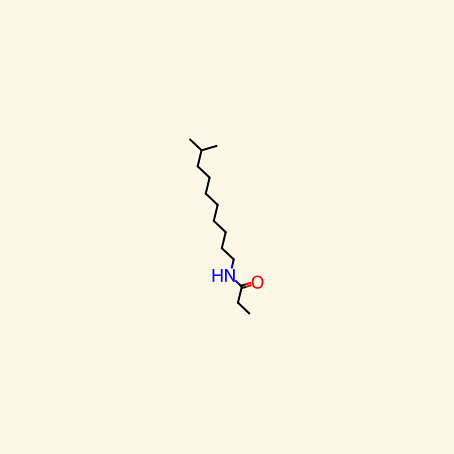 CCC(=O)NCCCCCCCCC(C)C